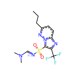 CCCc1ccc2nc(C(F)(F)F)c(S(=O)(=O)/N=C/N(C)C)n2n1